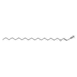 CCCCCCCCCCCCCCCCCCOC=CC#N